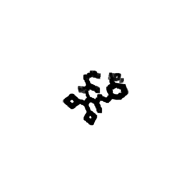 CC(C)(C)OC(=O)N[C@H](C(=O)OCc1cccc([N+](=O)[O-])c1)C(C1CCC1)C1CCC1